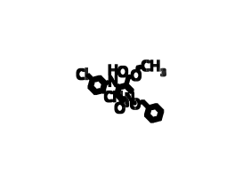 CCOC(=O)c1cn(OCc2ccccc2)c(=O)cc1Nc1cc(Cl)ccc1C